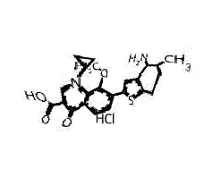 COc1c(-c2cc3c(s2)CCC(C)C3N)ccc2c(=O)c(C(=O)O)cn(C3CC3)c12.Cl